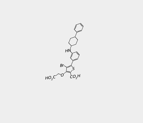 O=C(O)COc1c(C(=O)O)sc(-c2cccc(NC3CCC(c4ccccc4)CC3)c2)c1Br